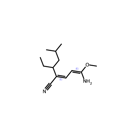 CCC(CC(C)C)/C(C#N)=C\C=C(/N)OC